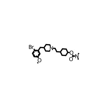 COc1ccc(Br)c(CC2CCN(CCC3CCC(OC(=O)N(C)C)CC3)CC2)c1